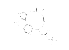 C[C@H]1/C=C\C[C@@H](NC(=O)OC(C)(C)C)c2cc(ccn2)-c2c(cnn2C(F)F)NC1=O